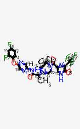 C[C@@H](C(=O)Nc1cnc(Oc2ccc(F)cc2F)cn1)N1CCN(C(=O)c2c[nH]c(=O)c(C(F)(F)F)n2)C(C)(C)C1